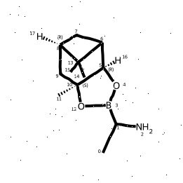 CC(N)B1O[C@@H]2C3C[C@H](C[C@]2(C)O1)C3(C)C